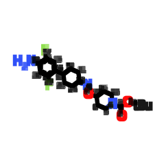 CC(C)(C)OC(=O)N1CCC(ON=C2CCC(c3cc(F)c(N)cc3F)CC2)CC1